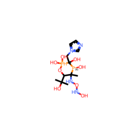 CC(C)(O)C1O[PH](O)(O)C(O)(Cn2ccnc2)[P@@](O)C1(C)NONO